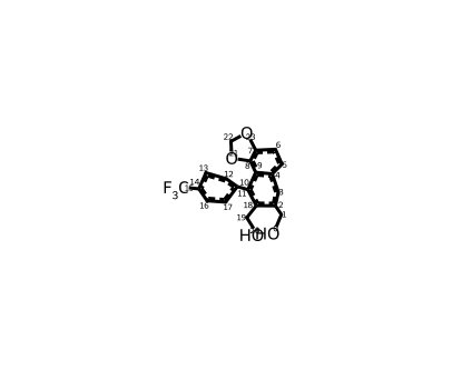 OCc1cc2ccc3c(c2c(-c2ccc(C(F)(F)F)cc2)c1CO)OCO3